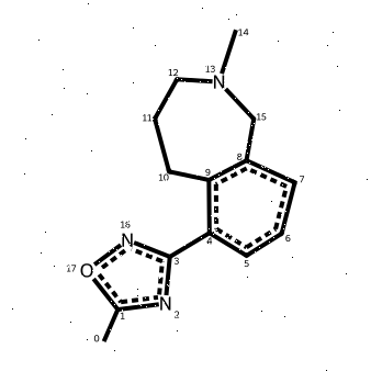 Cc1nc(-c2cccc3c2CCCN(C)C3)no1